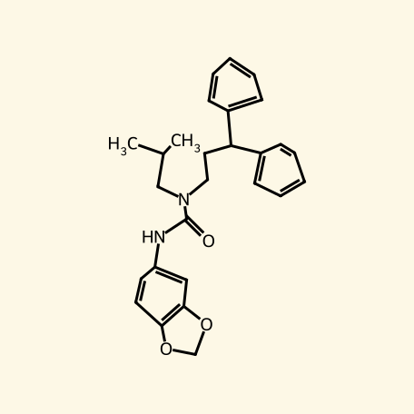 CC(C)CN(CCC(c1ccccc1)c1ccccc1)C(=O)Nc1ccc2c(c1)OCO2